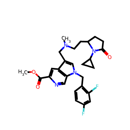 COC(=O)c1cc2c(CN(C)CCC3CCC(=O)N3C3CC3)cn(Cc3ccc(F)cc3F)c2cn1